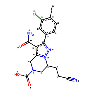 N#CCCC1CN(C(=O)O)Cc2c(C(N)=O)c(-c3ccc(F)c(Cl)c3)nn21